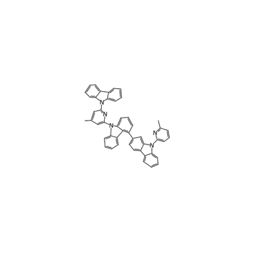 Cc1cc(-n2c3ccccc3c3ccccc32)nc(-n2c3ccccc3c3c(-c4ccc5c6ccccc6n(-c6cccc(C)n6)c5c4)cccc32)c1